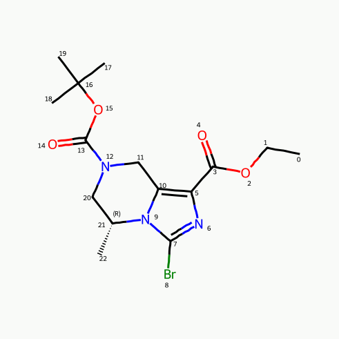 CCOC(=O)c1nc(Br)n2c1CN(C(=O)OC(C)(C)C)C[C@H]2C